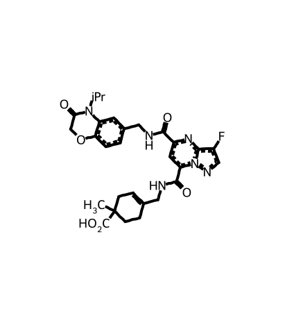 CC(C)N1C(=O)COc2ccc(CNC(=O)c3cc(C(=O)NCC4=CCC(C)(C(=O)O)CC4)n4ncc(F)c4n3)cc21